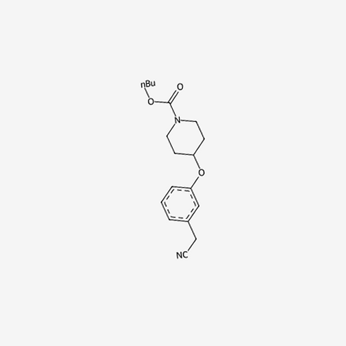 CCCCOC(=O)N1CCC(Oc2cccc(CC#N)c2)CC1